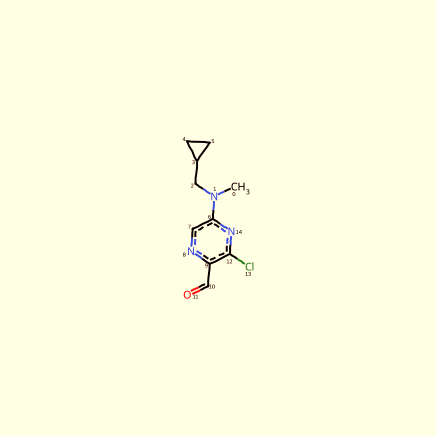 CN(CC1CC1)c1cnc(C=O)c(Cl)n1